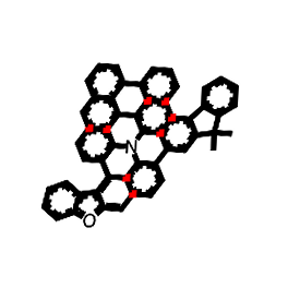 CC1CC=c2oc3ccccc3c2=C1c1ccccc1N(c1ccccc1-c1ccc2c(c1)C(C)(C)c1ccccc1-2)c1ccccc1-c1cccc2cccc(-c3ccccc3)c12